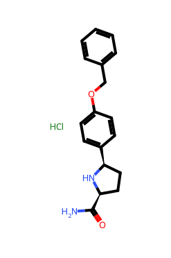 Cl.NC(=O)[C@@H]1CC[C@H](c2ccc(OCc3ccccc3)cc2)N1